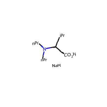 CCCN(CCC)C(C(=O)O)C(C)C.[NaH]